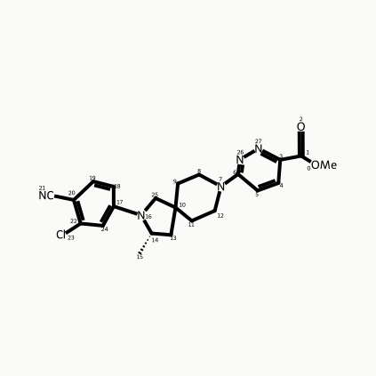 COC(=O)c1ccc(N2CCC3(CC2)C[C@H](C)N(c2ccc(C#N)c(Cl)c2)C3)nn1